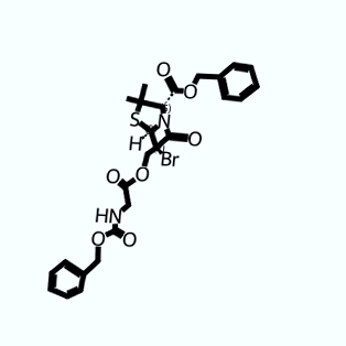 CC1(C)S[C@H]2N(C(=O)[C@]2(Br)COC(=O)CNC(=O)OCc2ccccc2)[C@H]1C(=O)OCc1ccccc1